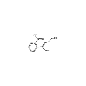 CCC(=CCCO)c1ccncc1[N+](=O)[O-]